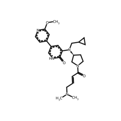 COc1cc(-c2c[nH]c(=O)c(N(CC3CC3)[C@H]3CCN(C(=O)/C=C/CN(C)C)C3)c2)ccn1